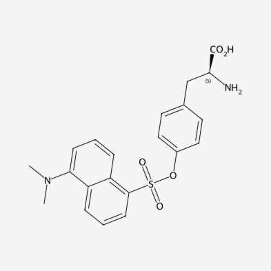 CN(C)c1cccc2c(S(=O)(=O)Oc3ccc(C[C@H](N)C(=O)O)cc3)cccc12